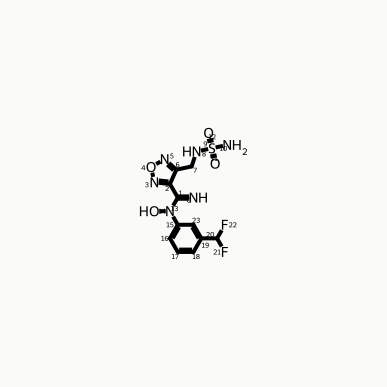 N=C(c1nonc1CNS(N)(=O)=O)N(O)c1cccc(C(F)F)c1